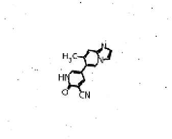 Cc1cc2nccn2cc1-c1c[nH]c(=O)c(C#N)c1